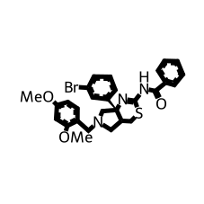 COc1ccc(CN2CC3CSC(NC(=O)c4ccccc4)=N[C@@]3(c3cccc(Br)c3)C2)c(OC)c1